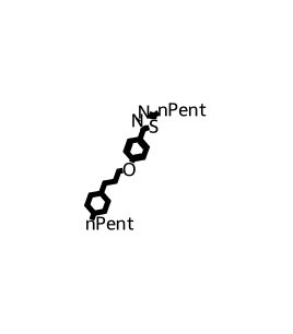 CCCCCc1nnc(-c2ccc(OCCCC3CCC(CCCCC)CC3)cc2)s1